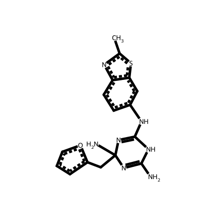 Cc1nc2ccc(NC3=NC(N)(Cc4ccco4)N=C(N)N3)cc2s1